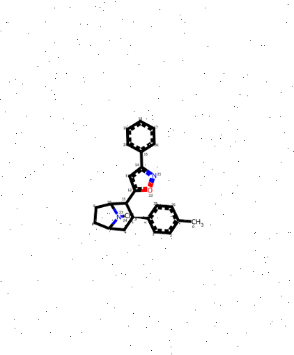 Cc1ccc([C@H]2CC3CCC(C2c2cc(-c4ccccc4)no2)N3C)cc1